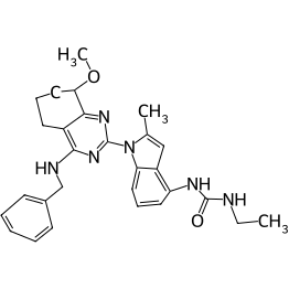 CCNC(=O)Nc1cccc2c1cc(C)n2-c1nc(NCc2ccccc2)c2c(n1)C(OC)CCC2